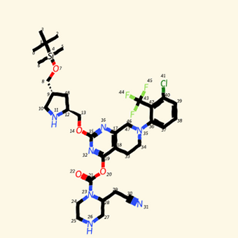 CC(C)(C)[Si](C)(C)OC[C@H]1CN[C@H](COc2nc3c(c(OC(=O)N4CCNCC4CC#N)n2)CCN(c2cccc(Cl)c2C(F)(F)F)C3)C1